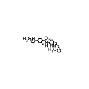 C[C@H]1CCCN1Cc1cc2cnc(NC(=O)c3ccc(-c4ccn(C)n4)cc3F)cc2[nH]1